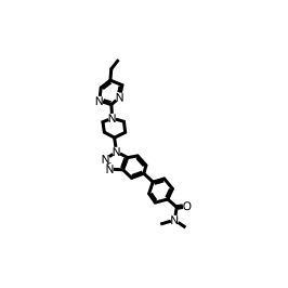 CCc1cnc(N2CCC(n3nnc4cc(-c5ccc(C(=O)N(C)C)cc5)ccc43)CC2)nc1